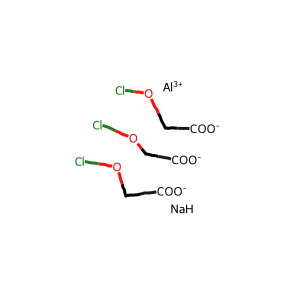 O=C([O-])COCl.O=C([O-])COCl.O=C([O-])COCl.[Al+3].[NaH]